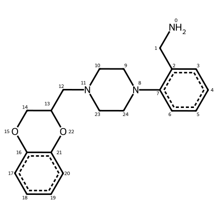 NCc1ccccc1N1CCN(CC2COc3ccccc3O2)CC1